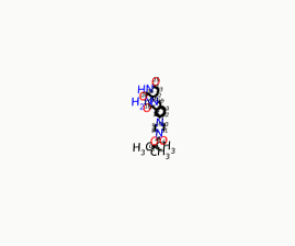 CC(C)(C)OC(=O)N1CCN(c2ccc3c(c2)C(=O)N([C@]2(N)CCC(=O)NC2=O)C3)CC1